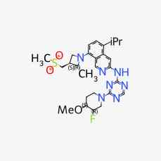 CO[C@H]1CCN(c2ncnc(Nc3cc4c(C(C)C)ccc(N5C[C@H](CS(C)(=O)=O)[C@H]5C)c4cn3)n2)C[C@H]1F